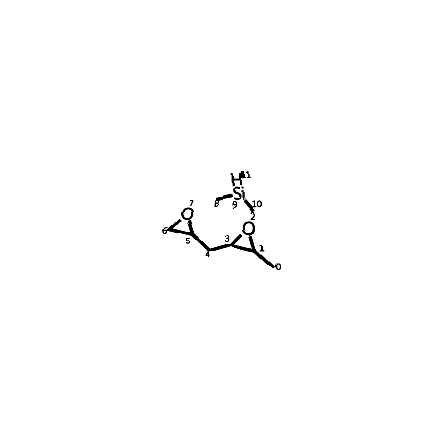 CC1OC1CC1CO1.C[SiH](C)C